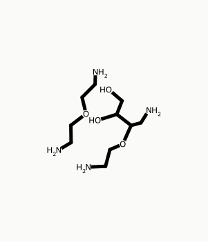 NCCOC(CN)C(O)CO.NCCOCCN